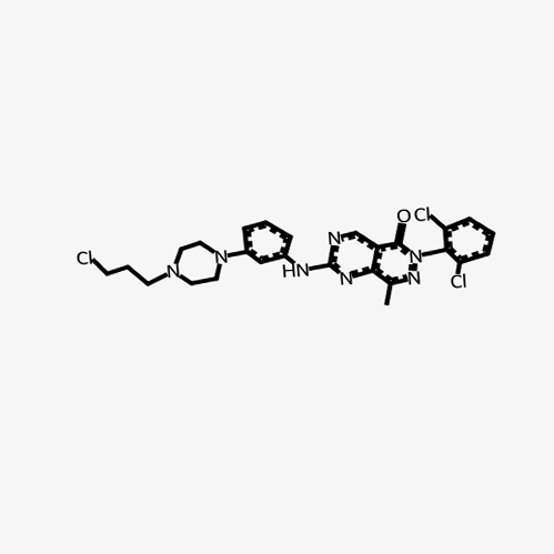 Cc1nn(-c2c(Cl)cccc2Cl)c(=O)c2cnc(Nc3cccc(N4CCN(CCCCl)CC4)c3)nc12